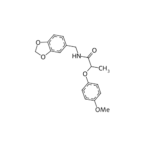 COc1ccc(OC(C)C(=O)NCc2ccc3c(c2)OCO3)cc1